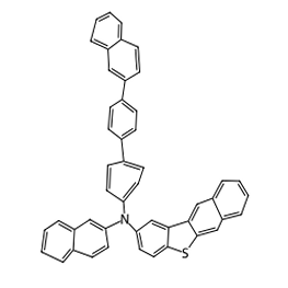 c1ccc2cc(-c3ccc(-c4ccc(N(c5ccc6ccccc6c5)c5ccc6sc7cc8ccccc8cc7c6c5)cc4)cc3)ccc2c1